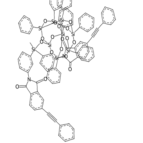 C[Si](O[Si]12O[Si]3(c4ccccc4)O[Si]4(c5ccccc5)O[Si](c5ccccc5)(O1)O[Si]1(c5ccccc5)O[Si](c5ccccc5)(O2)O[Si](c2ccccc2)(O3)O[Si](c2ccccc2)(O4)O1)(c1cccc(N2C(=O)c3ccc(C#Cc4ccccc4)cc3C2=O)c1)c1cccc(N2C(=O)c3ccc(C#Cc4ccccc4)cc3C2=O)c1